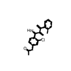 C=C(C(=C)c1ccccc1C)C(=N)c1ccc(CC(C)=O)cc1Cl